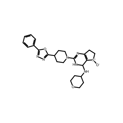 [O-][S+]1CCC2=C1C(NC1CCOCC1)NC(N1CCC(c3nnc(-c4ccccc4)o3)CC1)=N2